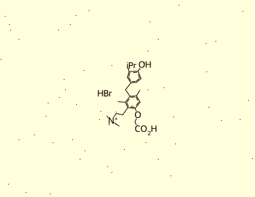 Br.Cc1cc(OCC(=O)O)c(CC[N+](C)(C)C)c(C)c1Cc1ccc(O)c(C(C)C)c1